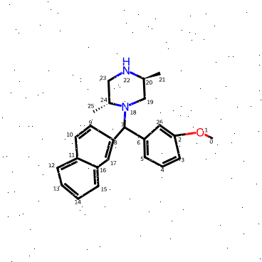 COc1cccc(C(c2ccc3ccccc3c2)N2C[C@H](C)NC[C@H]2C)c1